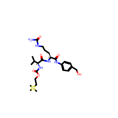 CC(C)[C@H](NC(=O)OCCS(C)(C)C)C(=O)N[C@@H](CCCNC(N)=O)C(=O)Nc1ccc(CO)cc1